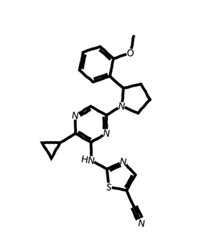 COc1ccccc1C1CCCN1c1cnc(C2CC2)c(Nc2ncc(C#N)s2)n1